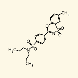 CCCN(CCC)S(=O)(=O)c1ccc(C2=NS(=O)(=O)c3cc(C)ccc3O2)cc1